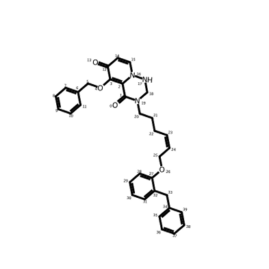 O=C1c2c(OCc3ccccc3)c(=O)ccn2NCN1CCC/C=C\COc1ccccc1Cc1ccccc1